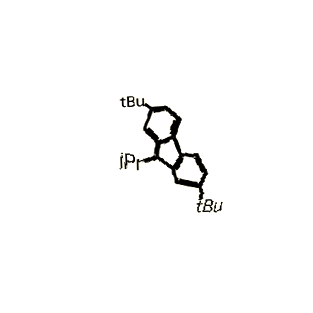 CC(C)C1c2cc(C(C)(C)C)ccc2-c2ccc(C(C)(C)C)cc21